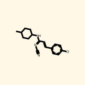 CC1CCC(NC(C=Cc2ccc(Cl)cc2)=NC#N)CC1